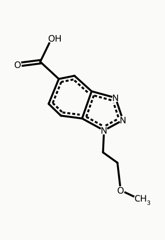 COCCn1nnc2cc(C(=O)O)ccc21